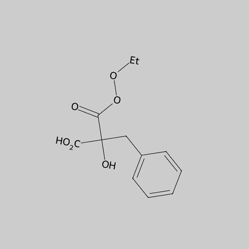 CCOOC(=O)C(O)(Cc1ccccc1)C(=O)O